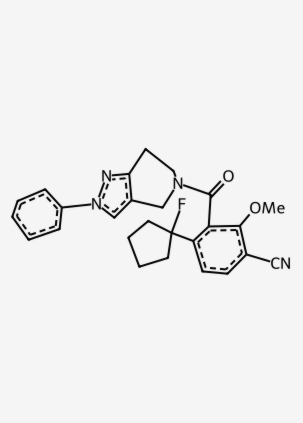 COc1c(C#N)ccc(C2(F)CCCC2)c1C(=O)N1CCc2nn(-c3ccccc3)cc2C1